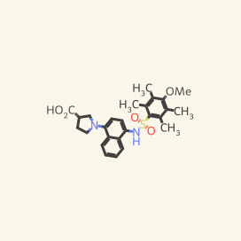 COc1c(C)c(C)c(S(=O)(=O)Nc2ccc(N3CCC(C(=O)O)C3)c3ccccc23)c(C)c1C